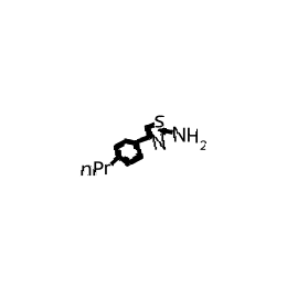 CCCc1ccc(-c2csc(N)n2)cc1